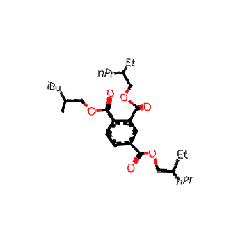 CCCC(CC)COC(=O)c1ccc(C(=O)OCC(C)C(C)CC)c(C(=O)OCC(CC)CCC)c1